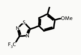 COc1ccc(-c2nc(C(F)(F)F)ns2)cc1C